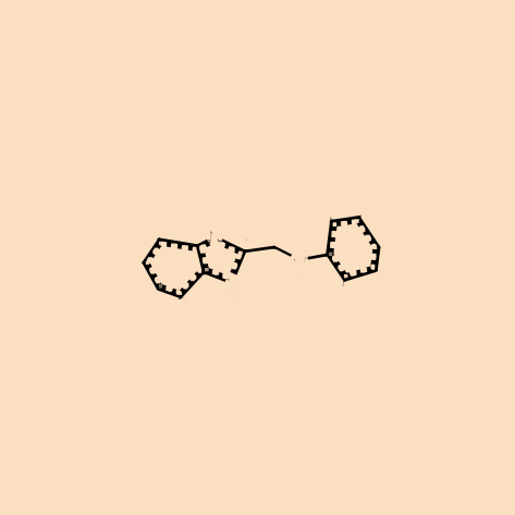 [c]1ccccc1OCc1nc2ccccc2s1